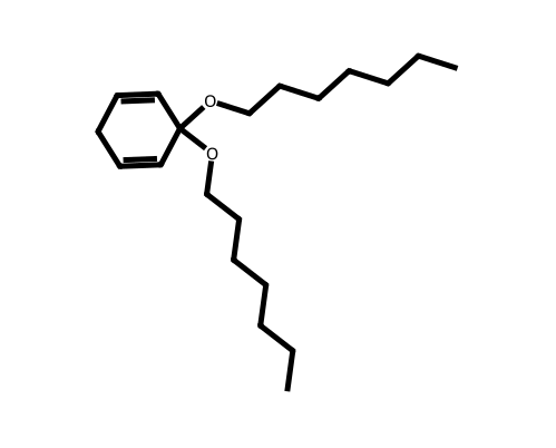 CCCCCCCOC1(OCCCCCCC)C=CCC=C1